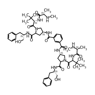 CN[C@@H](C)C(=O)NC(C(=O)N1C[C@@H](NC(=O)c2cccc(C(=O)N[C@H]3CC(C(=O)N[C@H](CO)Cc4ccccc4)N(C(=O)[C@@H](NC(=O)[C@H](C)NC)C(C)(C)C)C3)c2)CC1C(=O)N[C@H](CO)Cc1ccccc1)C(C)(C)C